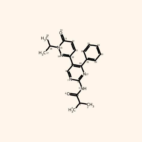 CC(C)C(=O)Nc1ncc(-c2ccc(=O)n(C(C)C)n2)c(-c2ccccc2)n1